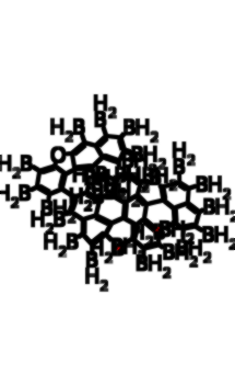 Bc1c(B)c(-c2c(B)c(B)c3c(-c4c5c(B)c(B)c(B)c(B)c5c(-c5c(B)c(B)c(B)c6c(B)c(B)c(B)c(B)c56)c5c(B)c(B)c(B)c(B)c45)c(B)c(B)c(B)c3c2B)c2c(oc3c(B)c4c(B)c(B)c(B)c(B)c4c(B)c32)c1B